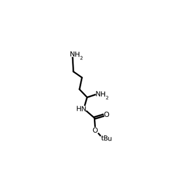 CC(C)(C)OC(=O)NC(N)CCCN